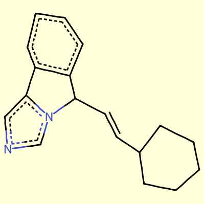 C(=CC1c2ccccc2-c2cncn21)C1CCCCC1